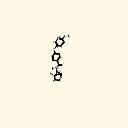 Cc1ccc(Oc2ccc(C(=O)NC3CN4CC[C@H]3C4)cc2)cn1